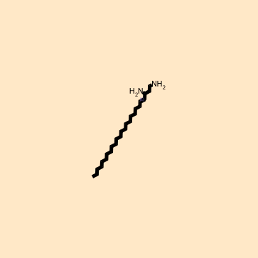 CCCCCCCCCCCCCCCCCCCC/C=C/C(N)CCN